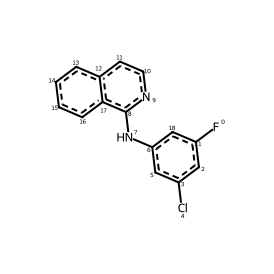 Fc1cc(Cl)cc(Nc2nccc3ccccc23)c1